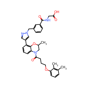 Cc1cccc(OCCCC(=O)N2CC(C)Oc3c(-c4cnn(Cc5cccc(C(=O)NCC(=O)O)c5)c4)cccc32)c1C